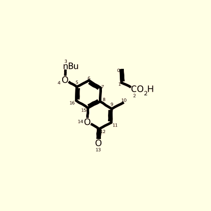 C=CC(=O)O.CCCCOc1ccc2c(C)cc(=O)oc2c1